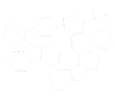 CC1(C)C2=CCCC(N(C3C=CC4C5C=CC=CC5[C@]5(C6=CC=CCC6C6C=CC=CC65)C4C3)C3CCCC4OC5CCCCC5C43)=C2C2C=CCCC21